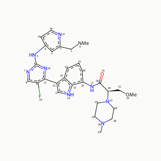 CNCc1cc(Nc2ncc(F)c(-c3c[nH]c4c(NC(=O)[C@@H](COC)N5CCN(C)CC5)cccc34)n2)ccn1